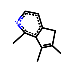 CC1=C(C)c2c(ccnc2C)C1